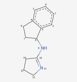 c1ccc2c(c1)CCC2NC1=NCCC1